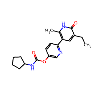 CCc1cc(-c2ccc(OC(=O)NC3CCCC3)cn2)c(C)[nH]c1=O